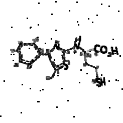 Cc1sc(N[C@@H](CCS)C(=O)O)nc1-c1ccccc1